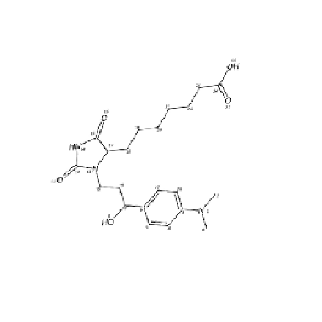 CN(C)c1ccc(C(O)CCN2C(=O)NC(=O)C2CCCCCCC(=O)O)cc1